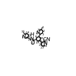 Cc1ccc(-c2cc(C(=O)NCc3ccc(C)nc3)cc(-c3cccnc3C#N)c2)nc1